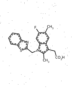 Cc1cc2c(CC(=O)O)c(C)n(Cc3nc4ccccc4s3)c2cc1F